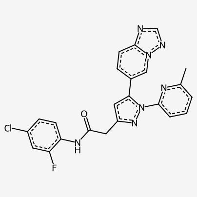 Cc1cccc(-n2nc(CC(=O)Nc3ccc(Cl)cc3F)cc2-c2ccc3ncnn3c2)n1